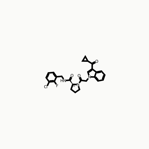 O=C(c1cn(CC(=O)N2CCC[C@H]2C(=O)NCc2cccc(Cl)c2F)c2ccccc12)C1CC1